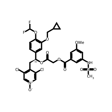 COc1cc(NS(C)(=O)=O)cc(C(=O)OCC(=O)O[C@@H](Cc2c(Cl)c[n+]([O-])cc2Cl)c2ccc(OC(F)F)c(OCC3CC3)c2)c1